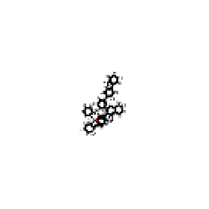 c1ccc(-n2c3ccccc3c3ccccc32)c(N(c2ccc(-c3ccc4c(c3)oc3ccccc34)cc2)c2cccc3oc4c5ccccc5ccc4c23)c1